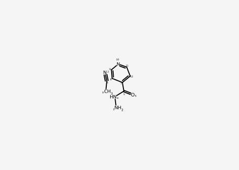 CC#N.NNC(=O)c1ccncc1